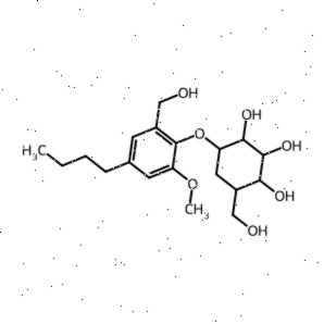 CCCCc1cc(CO)c(OC2CC(CO)C(O)C(O)C2O)c(OC)c1